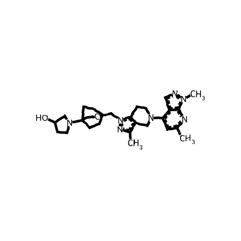 Cc1cc(N2CCc3c(c(C)nn3CC34CCC(N5CCC(O)C5)(CC3)CC4)C2)c2cnn(C)c2n1